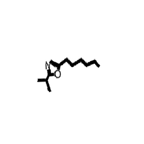 CCCCCCc1cnc(C(C)C)o1